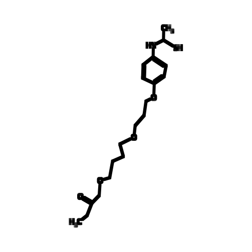 CCC(=O)COCCCCOCCCOc1ccc(NC(C)S)cc1